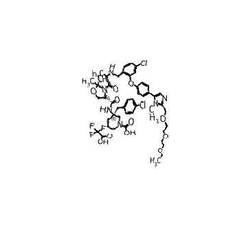 CCOCCOCCOCc1ncc(-c2ccc(Oc3cc(Cl)ccc3CNC(C)C(=O)N3[C@H](C(=O)N[C@@]4(Cc5ccc(Cl)cc5)CCCN(C(=O)O)C4)COC3(C)C)cc2)n1C.O=C(O)C(F)(F)F